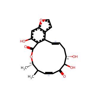 CC1/C=C\C(=O)C(O)[C@@H](O)C/C=C/c2c(c(O)cc3occc23)C(=O)O[C@H]1C